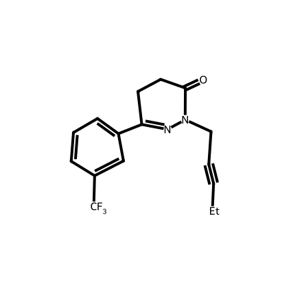 CCC#CCN1N=C(c2cccc(C(F)(F)F)c2)CCC1=O